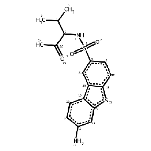 CC(C)C(NS(=O)(=O)c1ccc2sc3cc(N)ccc3c2c1)C(=O)O